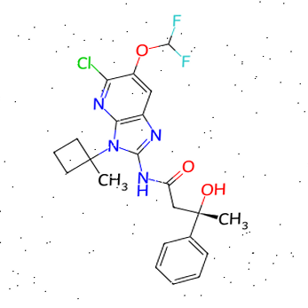 CC1(n2c(NC(=O)C[C@](C)(O)c3ccccc3)nc3cc(OC(F)F)c(Cl)nc32)CCC1